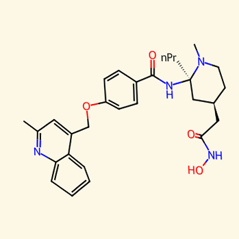 CCC[C@@]1(NC(=O)c2ccc(OCc3cc(C)nc4ccccc34)cc2)C[C@H](CC(=O)NO)CCN1C